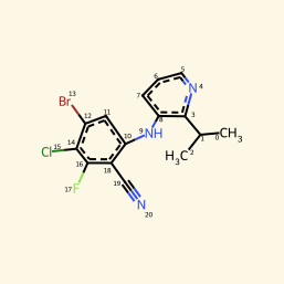 CC(C)c1ncccc1Nc1cc(Br)c(Cl)c(F)c1C#N